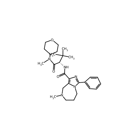 CN1CCCn2c(-c3ccccc3)nc(C(=O)N[C@H](C(=O)N(C)C3CCOCC3)C(C)(C)C)c2C1